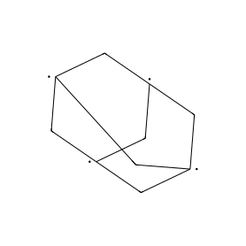 C1[C]2C[C]3C[C]1C[C](C2)C3